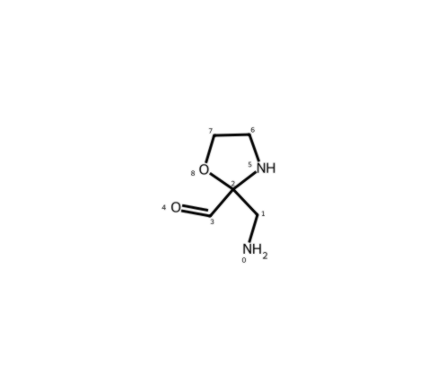 NCC1(C=O)NCCO1